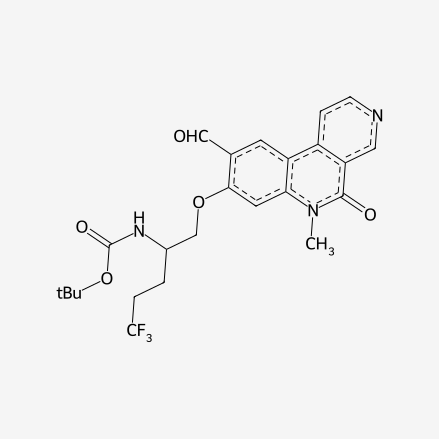 Cn1c(=O)c2cnccc2c2cc(C=O)c(OCC(CCC(F)(F)F)NC(=O)OC(C)(C)C)cc21